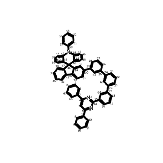 c1ccc(-c2cc(-c3ccccc3)nc(-c3cccc(-c4cccc(-c5cccc(-c6ccc7c(c6)C6(c8ccccc8-7)c7ccccc7N(c7ccccc7)c7ccccc76)c5)c4)c3)n2)cc1